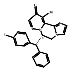 O=c1cnn2c(c1O)-c1nccn1C[C@@H]2C(c1ccccc1)c1ccc(F)cc1